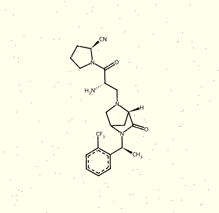 C[C@@H](c1ccccc1C(F)(F)F)N1C(=O)[C@@H]2CC1CN2C[C@H](N)C(=O)N1CCC[C@H]1C#N